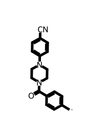 [CH2]c1ccc(C(=O)N2CCN(c3ccc(C#N)cc3)CC2)cc1